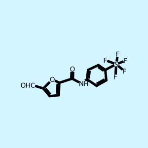 O=Cc1ccc(C(=O)Nc2ccc(S(F)(F)(F)(F)F)cc2)o1